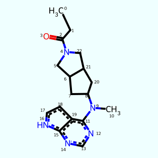 CCC(=O)N1CC2CC(N(C)c3ncnc4[nH]ccc34)CC2C1